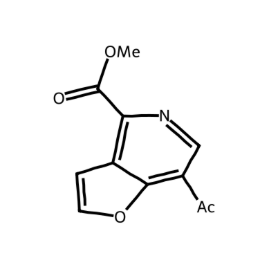 COC(=O)c1ncc(C(C)=O)c2occc12